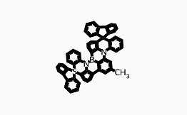 Cc1cc2c3c(c1)N1c4ccccc4C4(c5ccccc5-c5ccccc54)c4cccc(c41)B3N1c3ccccc3S3(c4ccccc4-c4ccccc43)c3cccc-2c31